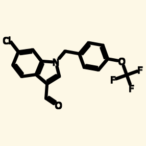 O=Cc1cn(Cc2ccc(OC(F)(F)F)cc2)c2cc(Cl)ccc12